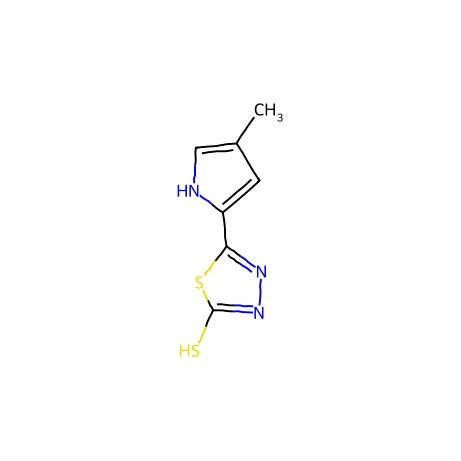 Cc1c[nH]c(-c2nnc(S)s2)c1